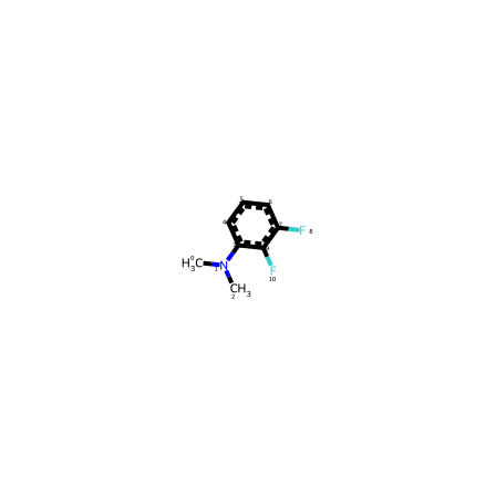 CN(C)c1c[c]cc(F)c1F